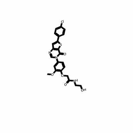 COc1cc(-n2cnc3cc(-c4ccc(Cl)cc4)sc3c2=O)ccc1OCC(=O)NCCO